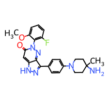 COc1cccc(F)c1-n1nc2c(-c3ccc(N4CCC(C)(N)CC4)cc3)n[nH]c2cc1=O